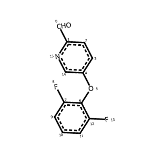 O=Cc1ccc(Oc2c(F)cccc2F)cn1